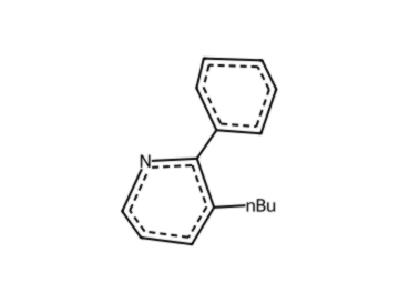 CCCCc1cccnc1-c1ccccc1